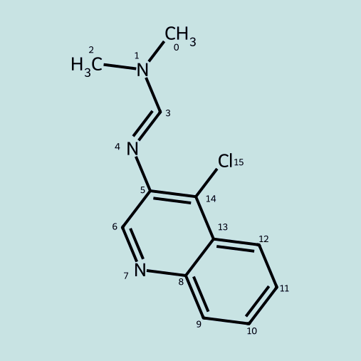 CN(C)C=Nc1cnc2ccccc2c1Cl